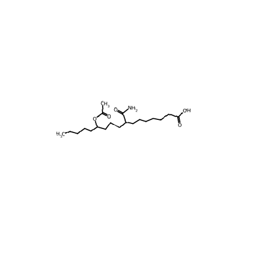 CCCCCC(CCCC(CCCCCCC(=O)O)C(N)=O)OC(C)=O